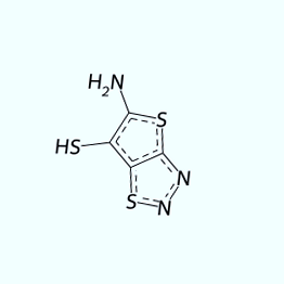 Nc1sc2nnsc2c1S